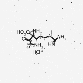 C[C@H](N)C(=O)[C@](N)(CCCNC(=N)N)C(=O)O.Cl